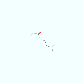 CCCCCCCCCCCC(=O)OC[CH2][Sn+]([CH2]CCC)[CH2]CCC.[Cl-]